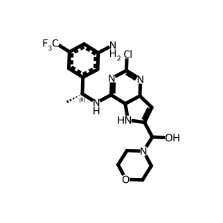 C[C@@H](NC1=NC(Cl)=NC2C=C(C(O)N3CCOCC3)NC12)c1cc(N)cc(C(F)(F)F)c1